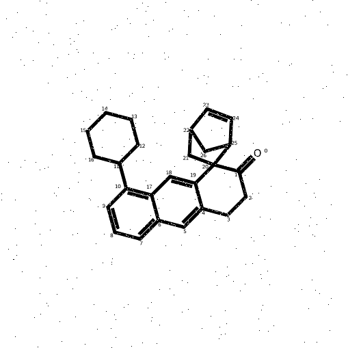 O=C1CCc2cc3cccc(C4CCCCC4)c3cc2C12CC1C=CC2C1